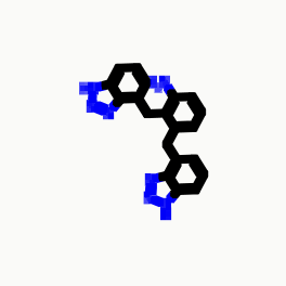 Nc1cccc(Cc2cccc3[nH]nnc23)c1Cc1cccc2[nH]nnc12